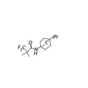 CC(C)C12CCC(NC(=O)C(C)(C)C(F)(F)F)(CC1)CC2